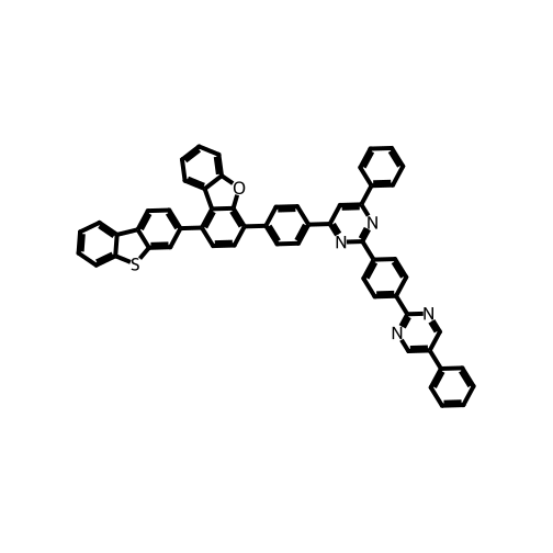 c1ccc(-c2cnc(-c3ccc(-c4nc(-c5ccccc5)cc(-c5ccc(-c6ccc(-c7ccc8c(c7)sc7ccccc78)c7c6oc6ccccc67)cc5)n4)cc3)nc2)cc1